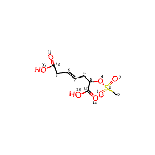 CS(=O)(=O)OC(CC=CCC(=O)O)C(=O)O